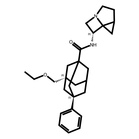 CCOC[C@@]12CC3CC(C(=O)N[C@@H]4CN5CCC6CC645)(C1)C[C@](c1ccccc1)(C3)C2